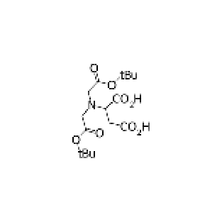 CC(C)(C)OC(=O)CN(CC(=O)OC(C)(C)C)C(CC(=O)O)C(=O)O